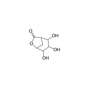 O=C1OC2CC1C(O)C(O)C2O